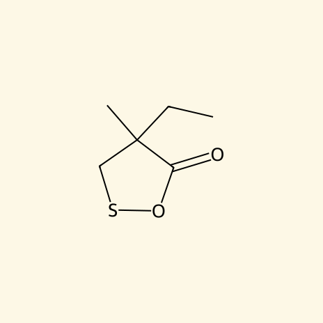 CCC1(C)CSOC1=O